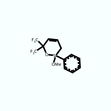 CO[Si]1(c2ccccc2)CC=CC(C(F)(F)F)(C(F)(F)F)O1